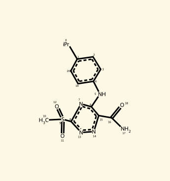 CC(C)c1ccc(Nc2nc(S(C)(=O)=O)nnc2C(N)=O)cc1